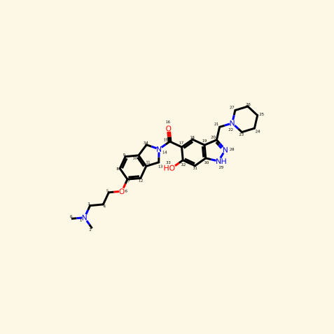 CN(C)CCCOc1ccc2c(c1)CN(C(=O)c1cc3c(CN4CCCCC4)n[nH]c3cc1O)C2